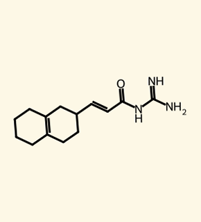 N=C(N)NC(=O)/C=C/C1CCC2=C(CCCC2)C1